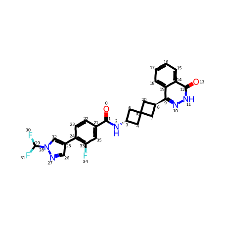 O=C(N[C@H]1CC2(C1)C[C@H](c1n[nH]c(=O)c3ccccc31)C2)c1ccc(-c2cnn(C(F)F)c2)c(F)c1